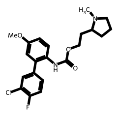 COc1ccc(NC(=O)OCCC2CCCN2C)c(-c2ccc(F)c(Cl)c2)c1